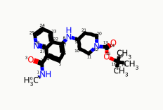 CNC(=O)c1ccc(NC2CCN(C(=O)OC(C)(C)C)CC2)c2cccnc12